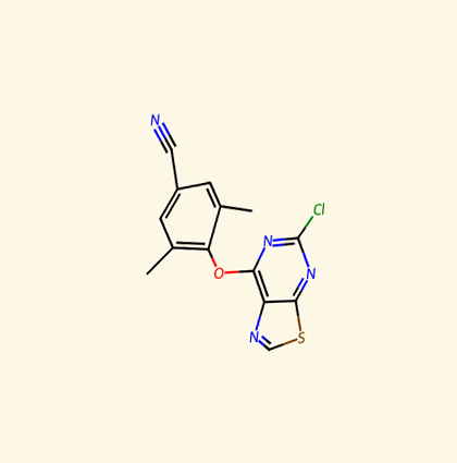 Cc1cc(C#N)cc(C)c1Oc1nc(Cl)nc2scnc12